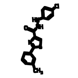 Cc1cccc(-c2nc(C(=O)NNc3ccc(Cl)cc3)cs2)c1